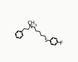 CN(CCCCCSc1ccc(F)cc1)CCc1ccccc1